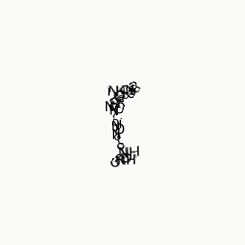 N#Cc1c(NS(=O)(=O)C2CCCC2)ccc(F)c1Oc1ccc2ncn(CCC3CCN(C(=O)CN4CCC(c5ccc(NC6CCC(=O)NC6=O)cc5)CC4)C(I)C3)c(=O)c2c1